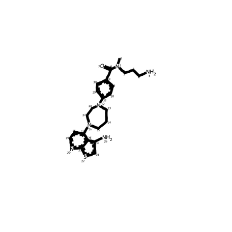 CN(CCCN)C(=O)c1ccc(N2CCCN(c3ccnc4scc(N)c34)CC2)cc1